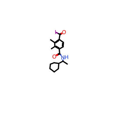 Cc1c(C(=O)I)ccc(C(=O)NC(C)C2CCCCC2)c1C